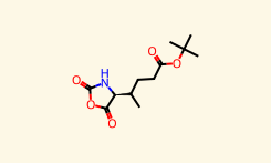 CC(CCC(=O)OC(C)(C)C)[C@@H]1NC(=O)OC1=O